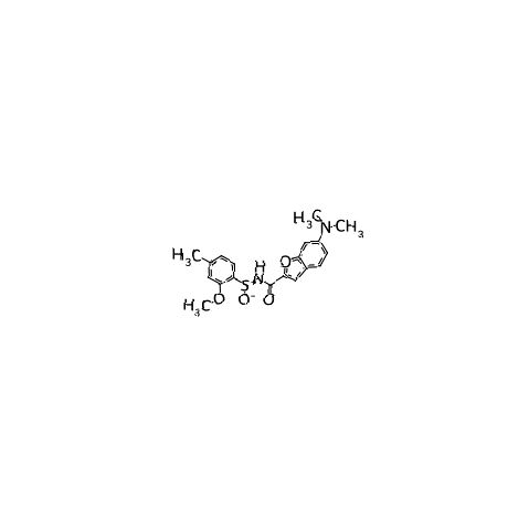 COc1cc(C)ccc1[S+]([O-])NC(=O)c1cc2ccc(N(C)C)cc2o1